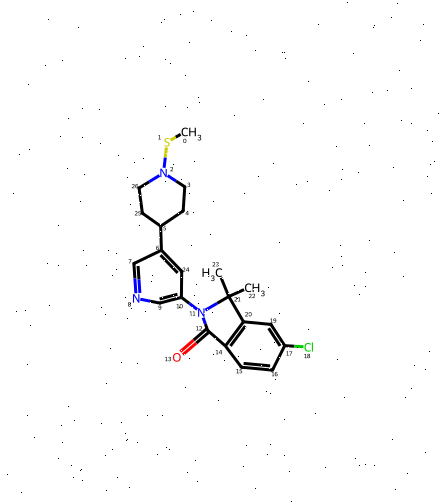 CSN1CCC(c2cncc(N3C(=O)c4ccc(Cl)cc4C3(C)C)c2)CC1